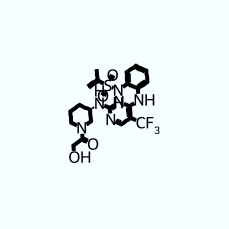 C=C(C)S(=O)(=O)Nc1ccccc1Nc1nc(N[C@H]2CCCN(C(=O)CO)C2)ncc1C(F)(F)F